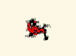 CN[C@H](CC(C)C)C(=O)N[C@H]1C(=O)N[C@@H](CC(N)=O)C(=O)N[C@H]2C(=O)N[C@H]3C(=O)N[C@H](C(=O)N[C@@H](C(=O)O)c4cc(O)cc(O)c4-c4cc3ccc4O)[C@H](O)c3ccc(c(Cl)c3)Oc3cc2cc(c3O[C@H]2O[C@@H](CO)[C@H](O)[C@@H](O)[C@@H]2OC2C[C@](C)(NC(=O)OCc3ccc(NC(=O)[C@H](CCCNC(N)=O)NC(=O)[C@@H](NC(=O)CCCCCN4C(=O)C=CC4=O)C(C)C)cc3)[C@H](O)[C@H](O)O2)Oc2ccc(cc2Cl)[C@H]1O